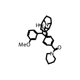 C=CCN1C2CCC1[C@H]1CCC2N1C(c1ccc(C(=O)N2CCCCC2)cc1)c1cccc(OC)c1